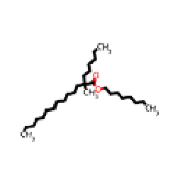 CCCCCCCCCCCCC(C)(CCCCCC)C(=O)OCCCCCCCC